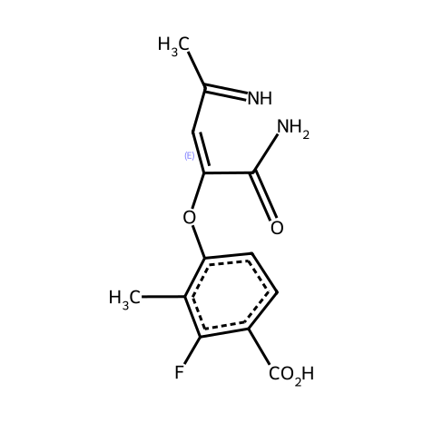 CC(=N)/C=C(/Oc1ccc(C(=O)O)c(F)c1C)C(N)=O